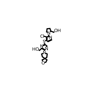 OCc1nc(Sc2ccnc(N3CCCC3CO)c2Cl)cnc1N1CCC2(CCOC2)CC1